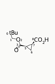 CC(C)(C)COC(=O)[C@@H]1C[C@@H]1C(=O)O